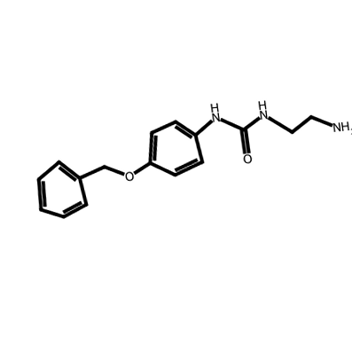 NCCNC(=O)Nc1ccc(OCc2ccccc2)cc1